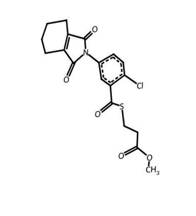 COC(=O)CCSC(=O)c1cc(N2C(=O)C3=C(CCCC3)C2=O)ccc1Cl